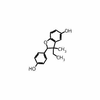 CCC1(C)c2cc(O)ccc2OC1c1ccc(O)cc1